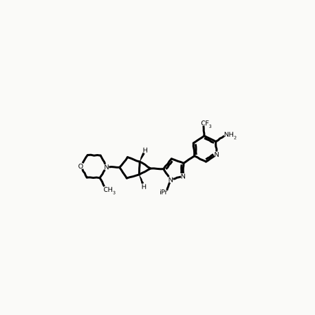 CC1COCCN1C1C[C@@H]2C(c3cc(-c4cnc(N)c(C(F)(F)F)c4)nn3C(C)C)[C@@H]2C1